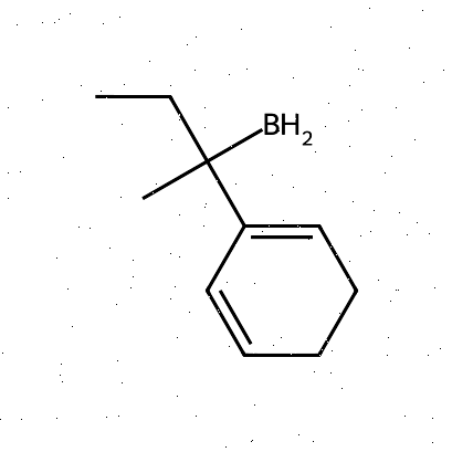 BC(C)(CC)C1=CCCC=C1